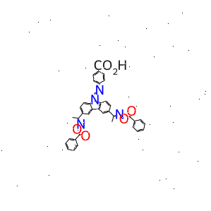 CC(=NOC(=O)c1ccccc1)c1ccc2c(c1)c1cc(C(C)=NOC(=O)c3ccccc3)ccc1n2C=Nc1ccc(C(=O)O)cc1